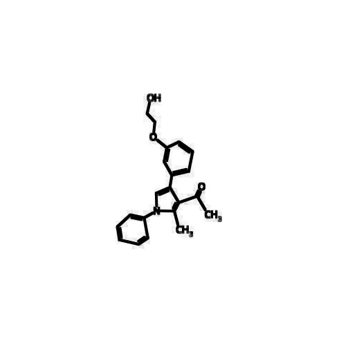 CC(=O)c1c(-c2cccc(OCCO)c2)cn(-c2ccccc2)c1C